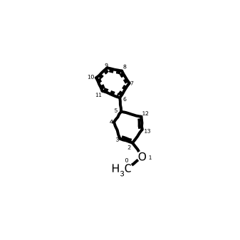 COC1=CCC(c2ccccc2)C=C1